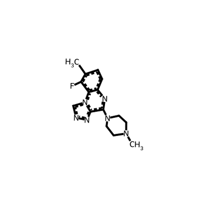 Cc1ccc2nc(N3CCN(C)CC3)c3nncn3c2c1F